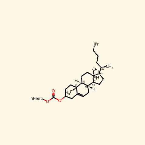 CCCCCOC(=O)OC1CC[C@@]2(C)C(=CC[C@H]3[C@@H]4CC[C@H]([C@H](C)CCCC(C)C)[C@@]4(C)CC[C@@H]32)C1